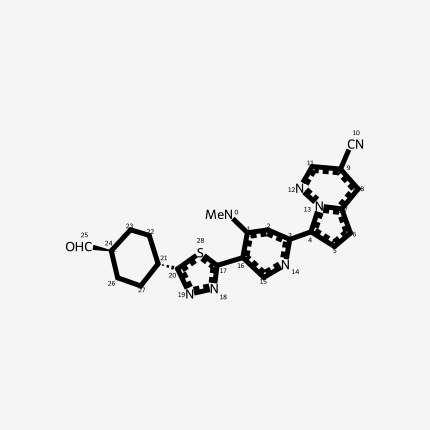 CNc1cc(-c2ccc3cc(C#N)cnn23)ncc1-c1nnc([C@H]2CC[C@H](C=O)CC2)s1